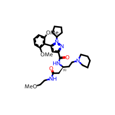 COCCNC(=O)C[C@H](CCN1CCCCC1)NC(=O)c1cc(-c2c(OC)cccc2OC)n(C2CCCC2)n1